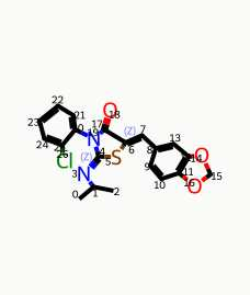 CC(C)/N=C1\S/C(=C\c2ccc3c(c2)OCO3)C(=O)N1c1ccccc1Cl